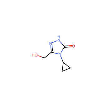 O=c1[nH]nc(CO)n1C1CC1